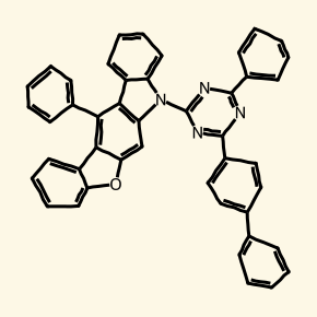 c1ccc(-c2ccc(-c3nc(-c4ccccc4)nc(-n4c5ccccc5c5c(-c6ccccc6)c6c(cc54)oc4ccccc46)n3)cc2)cc1